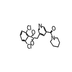 O=C(c1cncc(CS(=O)(=O)c2c(Cl)cccc2Cl)c1)N1CCCCC1